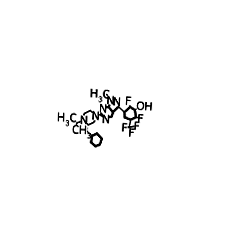 CC(C)N1CCN(c2ncc3c(-c4cc(C(F)(F)F)c(F)c(O)c4F)nn(C)c3n2)C[C@@H]1Cc1ccccc1